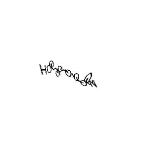 CN(C)CC(=O)OCCOCCOCCOC(=O)CCC(=O)O